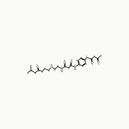 CC(=O)CC(=O)Cc1ccc(NC(=O)CC(=O)NCCOCCCC(=O)CC(C)C)cc1